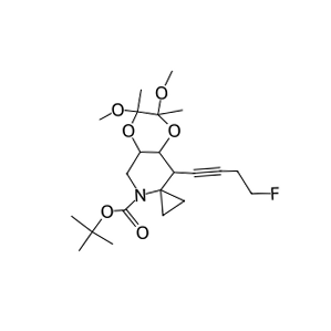 COC1(C)OC2CN(C(=O)OC(C)(C)C)C3(CC3)C(C#CCCF)C2OC1(C)OC